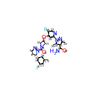 Cc1cc(F)cc([C@@H]2CC=NN2C(=O)N2CC(Oc3cc(-n4nc(C)c(C(N)=O)c4C)ncc3F)C2)c1